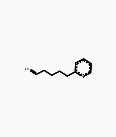 [CH]=CCCCCc1ccccn1